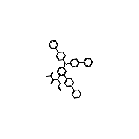 C=CCC(C(=C)C(=C)C)c1ccc(N(C2=CCC(c3ccccc3)C=C2)c2ccc(-c3ccccc3)cc2)cc1C1=CC=C(C2=CC=CCC2)CC1